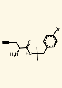 C#CC[C@H](N)C(=O)NC(C)(C)Cc1ccc(Br)cc1